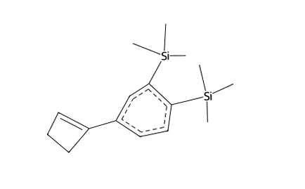 C[Si](C)(C)c1ccc(C2=CCC2)cc1[Si](C)(C)C